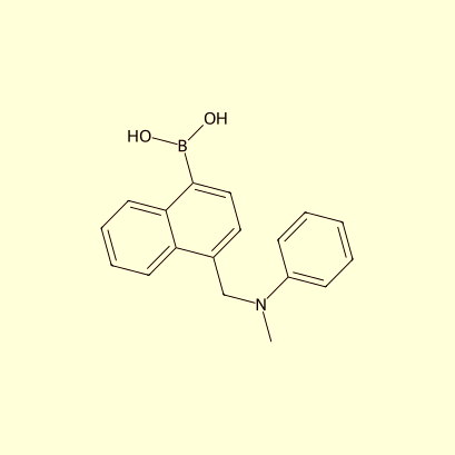 CN(Cc1ccc(B(O)O)c2ccccc12)c1ccccc1